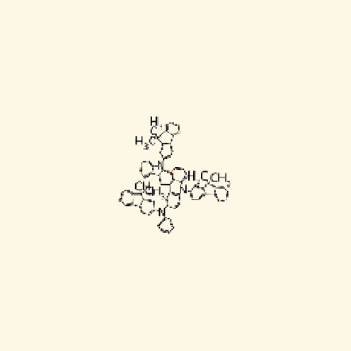 CC1(C)c2ccccc2-c2ccc(N(c3ccccc3)c3ccc(N(c4ccccc4)c4ccc5c(c4)C(C)(C)c4ccccc4-5)c(-c4ccc5c(c4)c4ccccc4n5-c4ccc5c(c4)C(C)(C)c4ccccc4-5)c3)cc21